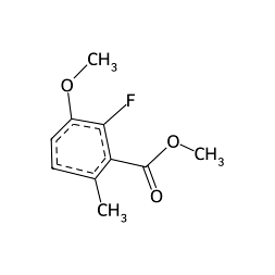 COC(=O)c1c(C)ccc(OC)c1F